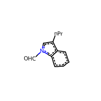 [CH2]CCc1cn(C=O)c2ccccc12